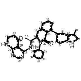 Cc1c[nH]c2ccc(-c3cccc4cc([C@H](C)Nc5ncnc6[nH]ccc(=O)c56)n(-c5ccccc5)c(=O)c34)cc12